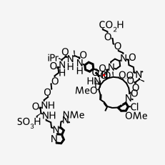 CNN(C)Cc1cc2cccnc2n1CCCN[C@@H](CS(=O)(=O)O)C(=O)NCCOCCOCCC(=O)N[C@H](C(=O)N[C@@H](C)C(=O)Nc1ccc(COC(=O)N2CCC(N(CCOCCOCCC(=O)O)C(=O)CCC(=O)N(C)[C@@H](C)C(=O)O[C@H]3CC(=O)N(C)c4cc(cc(OC)c4Cl)C/C(C)=C/C=C/[C@@H](OC)[C@H]4C[C@H](OC(=O)N4)[C@@H](C)C4O[C@]43C)CC2)cc1)C(C)C